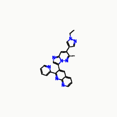 CCn1cc(-c2cc3ncc(-c4cc5cccnc5nc4-c4ccccn4)n3nc2C)cn1